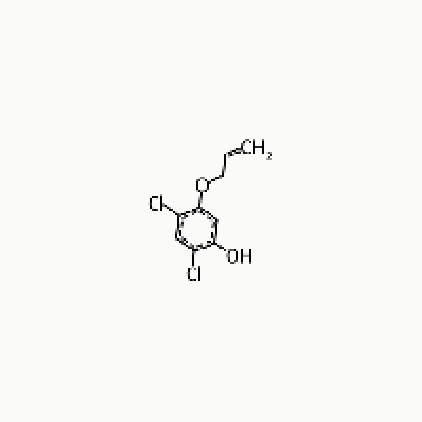 C=CCOc1cc(O)c(Cl)cc1Cl